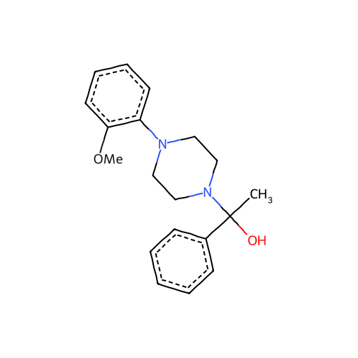 COc1ccccc1N1CCN(C(C)(O)c2ccccc2)CC1